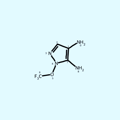 Nc1cnn(OC(F)(F)F)c1N